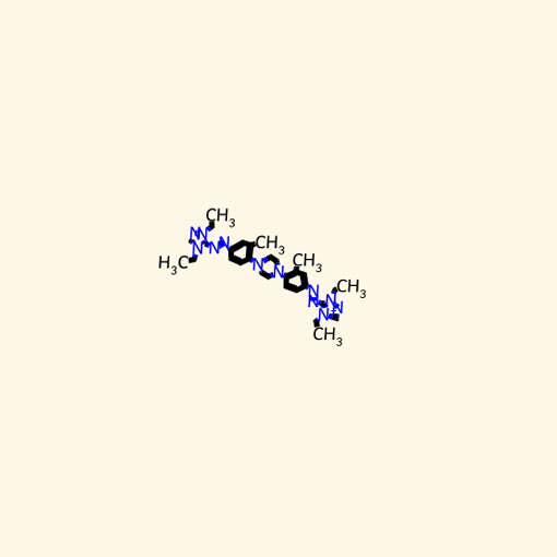 CCn1nc[n+](CC)c1/N=N/c1ccc(N2CCN(c3ccc(/N=N/c4n(CC)nc[n+]4CC)cc3C)CC2)c(C)c1